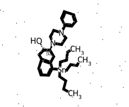 CCC[CH2][Sn]([CH2]CCC)([CH2]CCC)[c]1cccc2c1C[C@H](N1CCN(c3ccccc3)CC1)[C@@H](O)C2